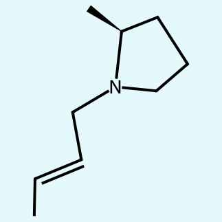 CC=CCN1CCC[C@@H]1C